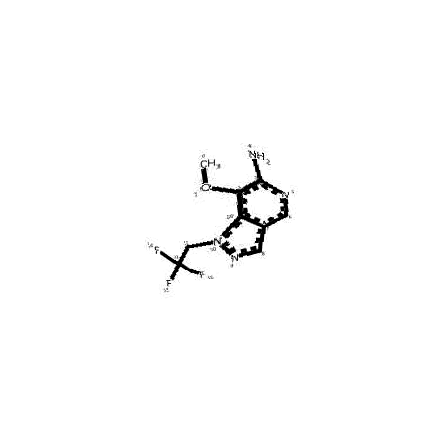 COc1c(N)ncc2cnn(CC(F)(F)F)c12